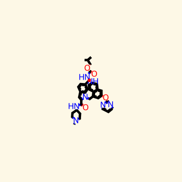 CC(C)COC(=O)NC(=N)c1ccc2cc(C(=O)NC3CCN(C)CC3)n(Cc3cc(Oc4ncccn4)cc4ccccc34)c2c1